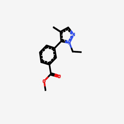 CCn1ncc(C)c1-c1cccc(C(=O)OC)c1